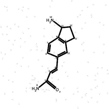 NC(=O)/C=C/c1ccc2c(c1)CCC2N